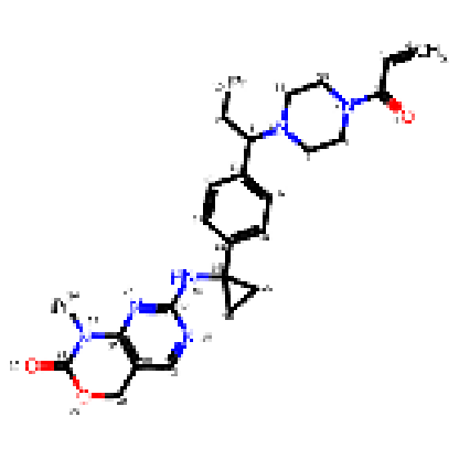 C=CC(=O)N1CCN(C(CC(C)C)c2ccc(C3(Nc4ncc5c(n4)N(C(C)C)C(=O)OC5)CC3)cc2)CC1